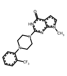 Cn1ccc2c(=O)[nH]c(N3CCN(c4ccccc4C(F)(F)F)CC3)nc21